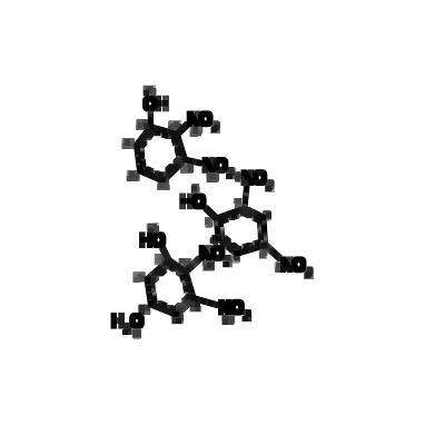 O.O=[N+]([O-])c1ccc(O)c([N+](=O)[O-])c1.O=[N+]([O-])c1cccc(O)c1[N+](=O)[O-].O=[N+]([O-])c1cccc(O)c1[N+](=O)[O-]